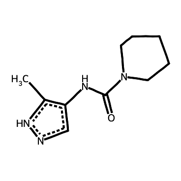 Cc1[nH]ncc1NC(=O)N1CCCCC1